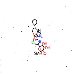 CSC1O[C@H]([C@H](NC(=O)[C@@H]2[C@@H]3OCC[C@@H](C4CCCCC4)C[C@H]3CN2C)[C@H](C)Cl)C(O)[C@@H](O)[C@H]1O